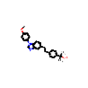 CC(C)Oc1ccc(-n2cnc3cc(C=Cc4ccc(C(O)(C(F)(F)F)C(F)(F)F)cc4)ccc32)cc1